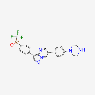 [O-][S+](c1ccc(-c2cnn3cc(-c4ccc(N5CCNCC5)cc4)cnc23)cc1)C(F)(F)F